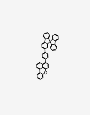 c1ccc2c(c1)Oc1ccc(-c3ccc(-c4ccc5c(c4)C4(c6ccccc6-c6ccccc64)c4ccccc4-5)cc3)c3cccc-2c13